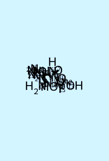 Nc1nc2c([nH]c(=O)n2[C@@H]2O[C@H](CO)[C@@H](F)[C@H]2O)c(=O)n1Cc1nnn[nH]1